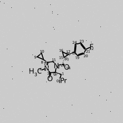 CC(C)C[C@H]1C(=O)N(C)[C@@H](C2CC2)CN1C(=O)[C@@H]1C[C@H]1c1ccc(F)cc1